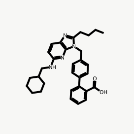 CCCCc1nc2ccc(NCC3CCCCC3)nc2n1Cc1ccc(-c2ccccc2C(=O)O)cc1